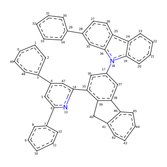 c1ccc(-c2cc(-c3ccccc3)nc(-c3cc(-n4c5ccccc5c5ccc(-c6ccccc6)cc54)cc4c3Cc3ccccc3-4)c2)cc1